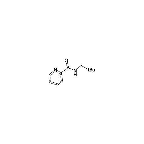 CC(C)(C)CNC(=O)c1ccccn1